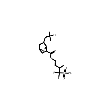 CC(C)(O)CC1CC2CC(C(=O)OCCC(F)C(F)(F)S(=O)(=O)O)C1S2